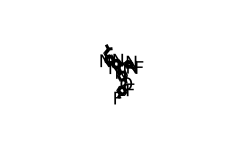 CC(C)=Cc1cc2nc(-c3cnn(CF)c3)c(N3CCC(Oc4ccc(F)cc4F)CC3)nc2cn1